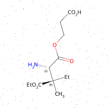 CCOC(=O)[C@](C)(CC)[C@H](N)C(=O)OCCC(=O)O